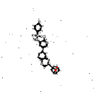 O=S(=O)(Nc1cc(-c2ccc3ncc(N4CC5CCC(CC5)C4)nc3c2)cnc1Cl)c1ccc(F)cc1